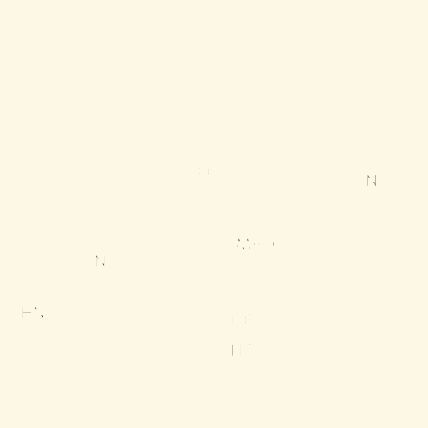 COCC1CCCN1Cc1cccc(OCC2CCC3CNCCN3C2)c1.Cl.Cl